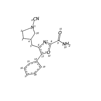 N#CN1CCC(Cc2nc(C(N)=O)oc2-c2ccccc2)C1